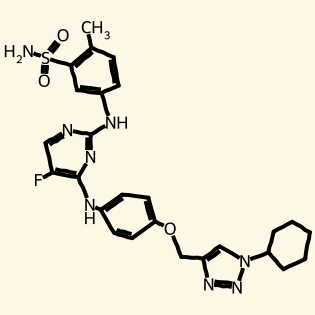 Cc1ccc(Nc2ncc(F)c(Nc3ccc(OCc4cn(C5CCCCC5)nn4)cc3)n2)cc1S(N)(=O)=O